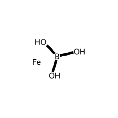 OB(O)O.[Fe]